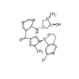 [CH2][C@@H]1C[C@@H](Nc2ncncc2C(=O)c2cc([C@H]3OCCc4cnc(Cl)cc43)c(C)s2)C[C@@H]1O